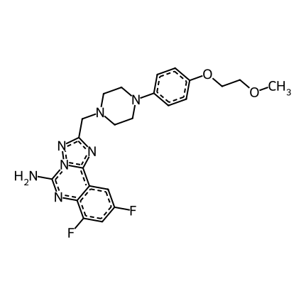 COCCOc1ccc(N2CCN(Cc3nc4c5cc(F)cc(F)c5nc(N)n4n3)CC2)cc1